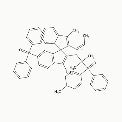 C/C=C\C1=C(C)c2ccccc2C12C(CC(C)(C)P(=O)(C1=CCC(C)C=C1)c1ccccc1)=C(C)c1ccc(P(=O)(c3ccccc3)c3ccccc3)cc12